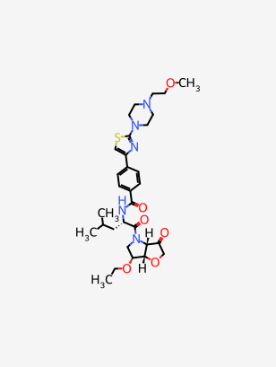 CCO[C@H]1CN(C(=O)[C@H](CC(C)C)NC(=O)c2ccc(-c3csc(N4CCN(CCOC)CC4)n3)cc2)[C@@H]2C(=O)CO[C@H]12